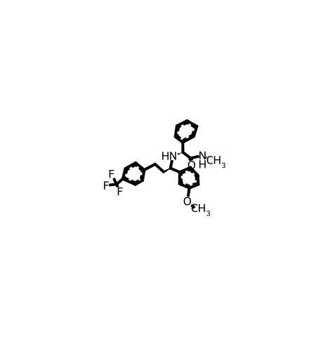 CNC(=O)[C@H](N[C@H](CCc1ccc(C(F)(F)F)cc1)c1cccc(OC)c1)c1ccccc1